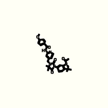 COc1ccc(C(=O)Nc2cc(CN3C(=O)N(c4ccc5c(c4)N(C(C)=O)CC5(C)C)C(=O)C3(C)C)ccn2)cc1